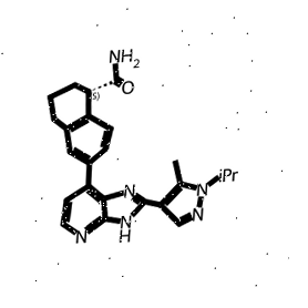 Cc1c(-c2nc3c(-c4ccc5c(c4)CCC[C@@H]5C(N)=O)ccnc3[nH]2)cnn1C(C)C